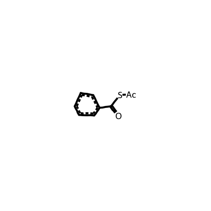 CC(=O)SC(=O)c1ccccc1